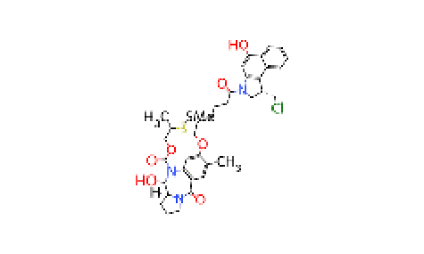 CSSC(C)COC(=O)N1c2cc(OCCCCCC(=O)N3C[C@@H](CCl)c4c3cc(O)c3ccccc43)c(C)cc2C(=O)N2CCC[C@H]2C1O